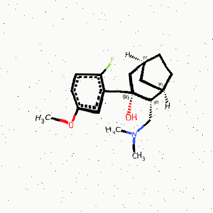 COc1ccc(F)c([C@@]2(O)C[C@H]3CC[C@H](C3)[C@@H]2CN(C)C)c1